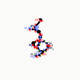 C=C(NC(=O)c1csc(-c2nc3c(cc2O)-c2nc(cs2)C(=O)N[C@@H]([C@@H](C)O)C(=O)N/C(=C\C)c2nc(cs2)C(=O)N[C@H]2C[C@H](OC(=O)N4CCN(C(=O)OCc5ccc(NC(=O)[C@H](CCCNC(N)=O)NC(=O)[C@@H](NC(=O)CCCCCN6C(=O)C=CC6O)C(C)C)cc5)CC4)C(=O)OCc4cccc5[nH]c(c(C)c45)C(=O)SC[C@H](NC(=O)c4csc2n4)c2nc-3cs2)n1)C(N)=O